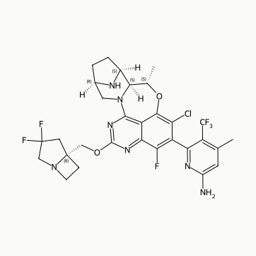 Cc1cc(N)nc(-c2c(Cl)c3c4c(nc(OC[C@]56CCN5CC(F)(F)C6)nc4c2F)N2C[C@H]4CC[C@H](N4)[C@H]2[C@H](C)O3)c1C(F)(F)F